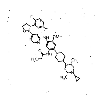 C=CC(=O)Nc1cc(Nc2cc(N3OCCC3c3cc(F)ccc3F)ncn2)c(OC)cc1N1CCC(N2C[C@@H](C)N(C3CC3)C[C@H]2C)CC1